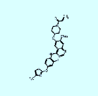 C=CC(=O)N1CCC(Oc2cc3c(Nc4ccc(Oc5nc(C(F)(F)F)cs5)cc4F)ncnc3cc2OC)CC1